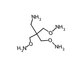 NCC(CON)(CON)CON